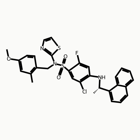 COc1ccc(CN(c2nccs2)S(=O)(=O)c2cc(Cl)c(N[C@@H](C)c3cccc4ccccc34)cc2F)c(C)c1